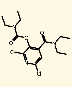 CCN(CC)C(=O)Oc1c(C(=O)N(CC)CC)cc(Cl)nc1Cl